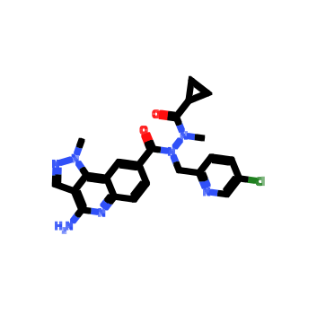 CN(C(=O)C1CC1)N(Cc1ccc(Cl)cn1)C(=O)c1ccc2nc(N)c3cnn(C)c3c2c1